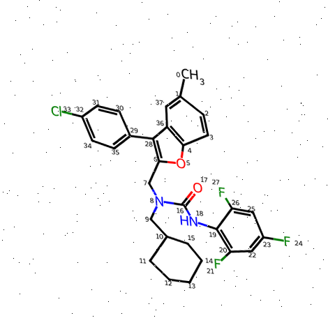 Cc1ccc2oc(CN(CC3CCCCC3)C(=O)Nc3c(F)cc(F)cc3F)c(-c3ccc(Cl)cc3)c2c1